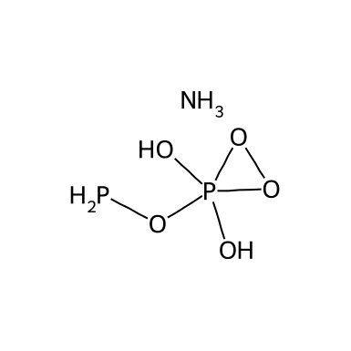 N.OP1(O)(OP)OO1